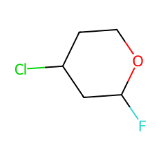 FC1CC(Cl)CCO1